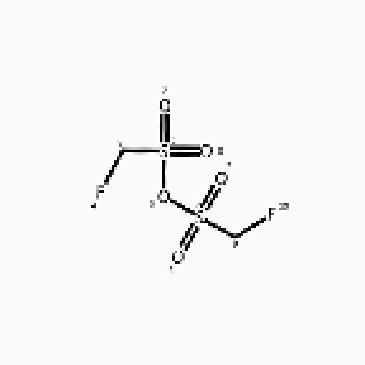 O=S(=O)(CF)OS(=O)(=O)CF